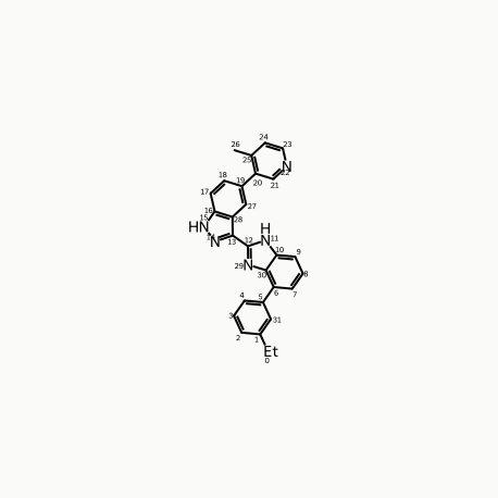 CCc1cccc(-c2cccc3[nH]c(-c4n[nH]c5ccc(-c6cnccc6C)cc45)nc23)c1